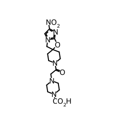 O=C(O)N1CCN(CC(=O)N2CCC3(CC2)Cn2cc([N+](=O)[O-])nc2O3)CC1